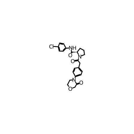 O=C(Nc1ccc(Cl)cc1)[C@H]1CCCN1C(=O)Cc1ccc(N2CCOCC2=O)cc1